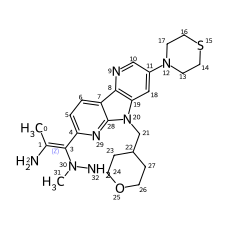 C/C(N)=C(\c1ccc2c3ncc(N4CCSCC4)cc3n(CC3CCOCC3)c2n1)N(C)N